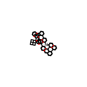 c1ccc(-c2cccc3cccc(-c4ccccc4N(c4ccc(-c5cccc6c7ccccc7n(-c7ccccc7)c56)cc4)c4ccccc4-c4ccc5c(c4)C4(c6ccccc6-5)C5CC6CC7CC4C675)c23)cc1